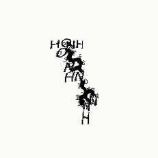 O=C(/C=C/c1ccc(CNCCc2ccnc3[nH]ccc23)cn1)NO